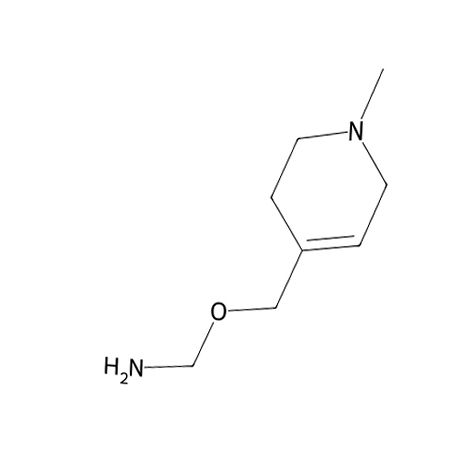 CN1CC=C(COCN)CC1